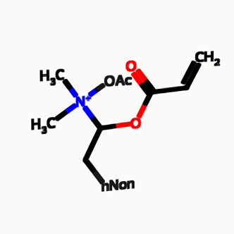 C=CC(=O)OC(CCCCCCCCCC)[N+](C)(C)OC(C)=O